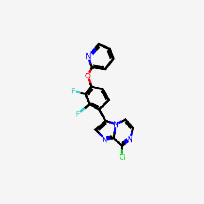 Fc1c(Oc2ccccn2)ccc(-c2cnc3c(Cl)nccn23)c1F